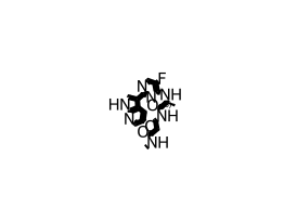 CNC(=O)CCNC(=O)[C@H](C)Nc1nc(C2CNc3ncc(Cl)cc32)ncc1F